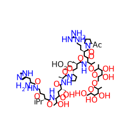 CC(=O)[C@@H]1CCCN1C(=O)[C@H](CCCNC(=N)N)CC(=O)[C@@H](NC(=O)[C@H](CC(=O)O)CC(=O)[C@@H]1CCCN1C(=O)[C@H](C)NC(=O)[C@H](CO)CC(=O)[C@@H](NC(=O)[C@@H](CC(=O)CNC(=O)[C@@H](N)Cc1cnc[nH]1)C(C)C)C(C)O)C(C)O[C@H]1OC(CO[C@@H]2OC(CO)[C@@H](O)[C@H](O)C2C)[C@H](O)[C@H](O)C1C